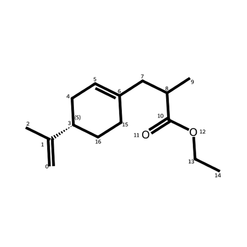 C=C(C)[C@@H]1CC=C(CC(C)C(=O)OCC)CC1